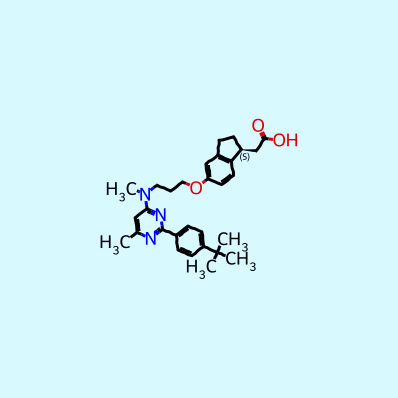 Cc1cc(N(C)CCCOc2ccc3c(c2)CC[C@H]3CC(=O)O)nc(-c2ccc(C(C)(C)C)cc2)n1